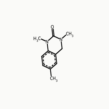 Cc1ccc2c(c1)CN(C)C(=O)N2C